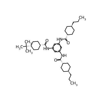 CCC[C@H]1CC[C@H](C(=O)Nc2cc(NC(=O)[C@H]3CC[C@H](CCC)CC3)cc(NC(=O)[C@H]3CC[C@@H](C(C)(C)C)CC3)c2)CC1